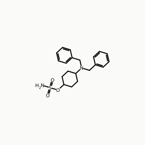 NS(=O)(=O)OC1CCC(N(Cc2ccccc2)Cc2ccccc2)CC1